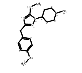 CNc1nc(Cc2ccc(OC)cc2)nn1C1CCN(C)CC1